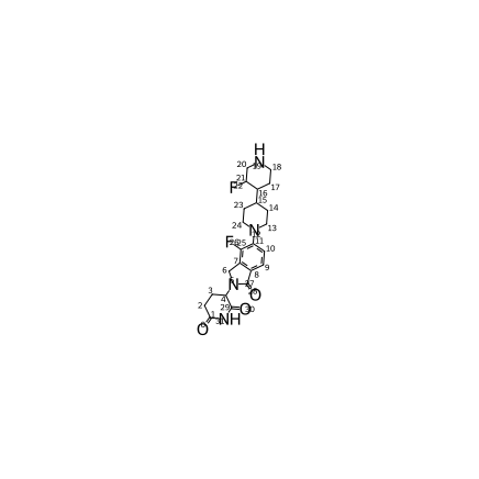 O=C1CCC(N2Cc3c(ccc(N4CCC(C5CCNCC5F)CC4)c3F)C2=O)C(=O)N1